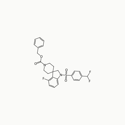 O=C(OCc1ccccc1)N1CCC2(CC1)CN(S(=O)(=O)c1ccc(C(F)F)cc1)c1cccc(F)c12